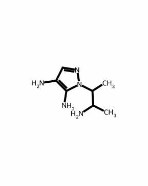 CC(N)C(C)n1ncc(N)c1N